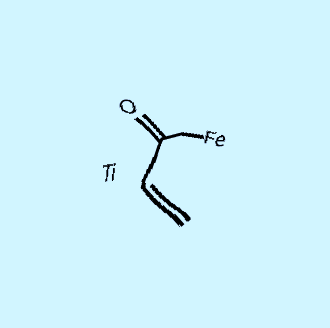 C=C[C](=O)[Fe].[Ti]